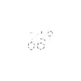 Cc1nccn1N(C(=O)C1CCOC(c2ccccc2)C1)S(=O)(=O)c1ccccc1